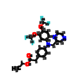 CCOC(=O)Cc1ccc(N(Cc2cnccn2)c2ccc(OC(F)F)c(OC(F)F)c2)cc1